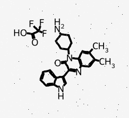 Cc1cc2nc(-c3c[nH]c4ccccc34)c(=O)n(C3CCC(N)CC3)c2cc1C.O=C(O)C(F)(F)F